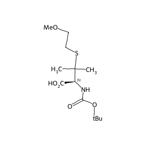 COCCSC(C)(C)[C@@H](NC(=O)OC(C)(C)C)C(=O)O